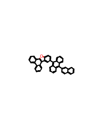 c1ccc2cc(-c3c4ccccc4c(-c4ccc5oc6c7ccccc7c7ccccc7c6c5c4)c4ccccc34)ccc2c1